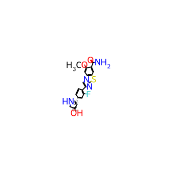 COc1cc2c(cc1C(N)=O)sc1nc(-c3ccc([C@@H]4C[C@@H](O)CN4)cc3F)cn12